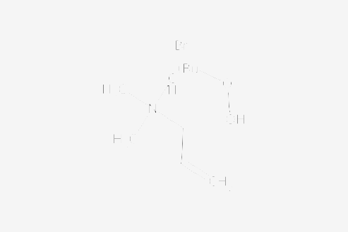 C=CC[N+](C)(C)C.CC(C)(C)OO.[Br-]